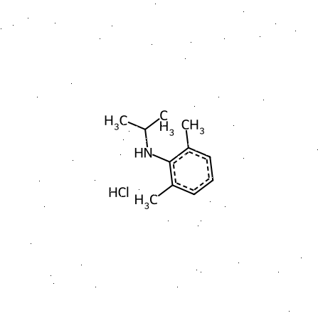 Cc1cccc(C)c1NC(C)C.Cl